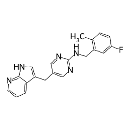 Cc1ccc(F)cc1CNc1ncc(Cc2c[nH]c3ncccc23)cn1